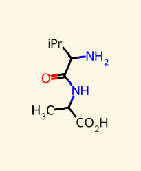 CC(NC(=O)C(N)C(C)C)C(=O)O